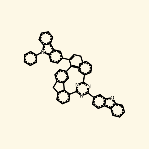 C1=C(c2ccc3c(c2)-c2c(cccc2-c2nc(-c4ccccc4)nc(-c4ccc5c(c4)oc4ccccc45)n2)C3)C(c2ccc3c(c2)c2ccccc2n3-c2ccccc2)=CCC1